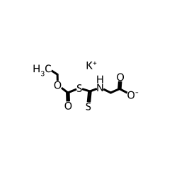 CCOC(=O)SC(=S)NCC(=O)[O-].[K+]